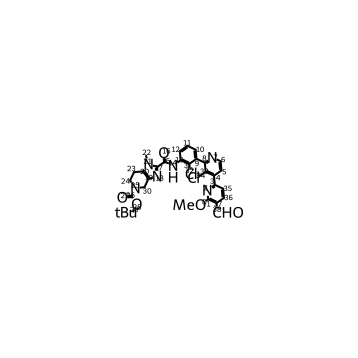 COc1nc(-c2ccnc(-c3cccc(NC(=O)c4nc5c(n4C)CCN(C(=O)OC(C)(C)C)C5)c3Cl)c2Cl)ccc1C=O